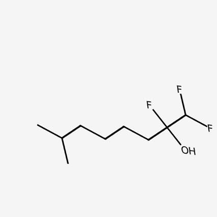 CC(C)CCCCC(O)(F)C(F)F